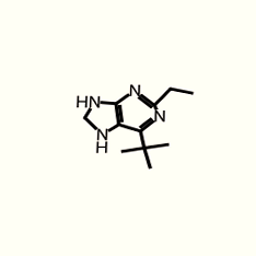 CCc1nc2c(c(C(C)(C)C)n1)NCN2